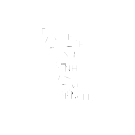 CNS(=O)(=O)c1cccc(NC(=O)c2ccc(C(F)(F)F)cc2C2CCCc3cc(F)ccc32)c1